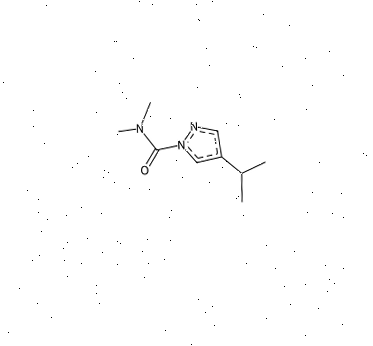 CC(C)c1cnn(C(=O)N(C)C)c1